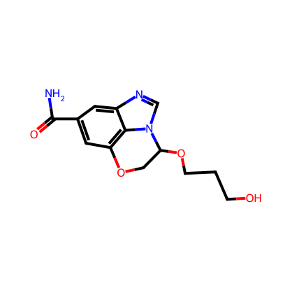 NC(=O)c1cc2c3c(c1)ncn3C(OCCCO)CO2